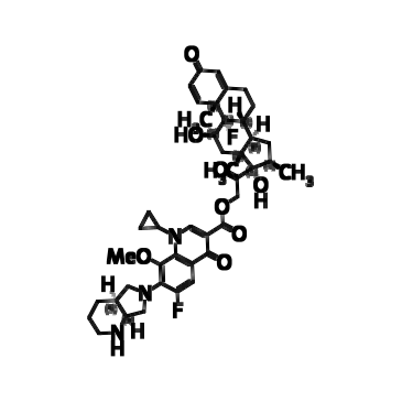 COc1c(N2C[C@@H]3CCCN[C@@H]3C2)c(F)cc2c(=O)c(C(=O)OCC(=O)[C@]3(O)[C@H](C)C[C@@H]4[C@H]5CCC6=CC(=O)C=C[C@@]6(C)[C@]5(F)[C@H](O)C[C@]43C)cn(C3CC3)c12